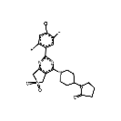 O=C1CCCN1C1CCN(c2nc(-c3cc(F)c(Cl)cc3F)nc3c2CS(=O)(=O)C3)CC1